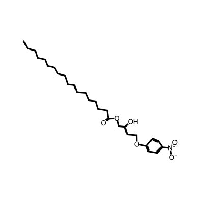 CCCCCCCCCCCCCCCCCC(=O)OCC(O)CCOc1ccc([N+](=O)[O-])cc1